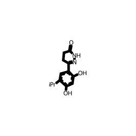 CC(C)c1cc(C2=NNC(=O)CC2)c(O)cc1O